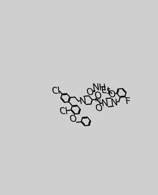 CCOc1cccc(F)c1CN1CCN(C(=O)[C@H](OC(N)=O)C2CCN(CCc3cc(Cl)ccc3-c3cccc(OCc4ccccc4)c3Cl)CC2)CC1